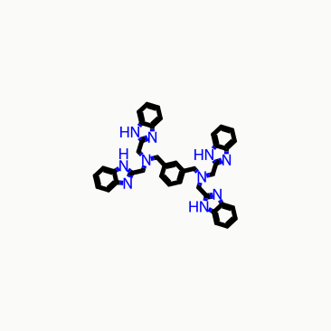 c1cc(CN(Cc2nc3ccccc3[nH]2)Cc2nc3ccccc3[nH]2)cc(CN(Cc2nc3ccccc3[nH]2)Cc2nc3ccccc3[nH]2)c1